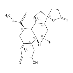 COC(=O)[C@@H]1CC2=CC(=O)C(O)C[C@]2(C)[C@@]23O[C@@H]2C[C@@]2(C)C(CC[C@@]24CCC(=O)O4)C13